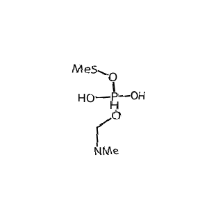 CNCO[PH](O)(O)OSC